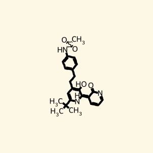 CC(C)(C)C1=CC(CCc2ccc(NS(C)(=O)=O)cc2)=C(O)C(=C2C=CC=NC2=O)N1